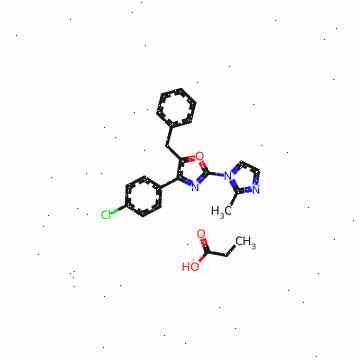 CCC(=O)O.Cc1nccn1-c1nc(-c2ccc(Cl)cc2)c(Cc2ccccc2)o1